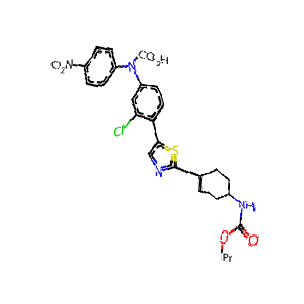 CC(C)OC(=O)NC1CCC(c2ncc(-c3ccc(N(C(=O)O)c4ccc([N+](=O)[O-])cc4)cc3Cl)s2)CC1